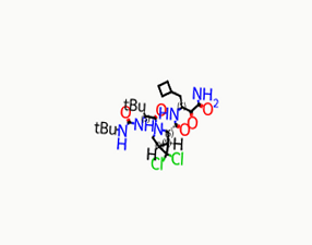 CC(C)(C)NC(=O)N[C@H](C(=O)N1C[C@H]2[C@@H]([C@H]1C(=O)N[C@@H](CC1CCC1)C(=O)C(N)=O)C2(Cl)Cl)C(C)(C)C